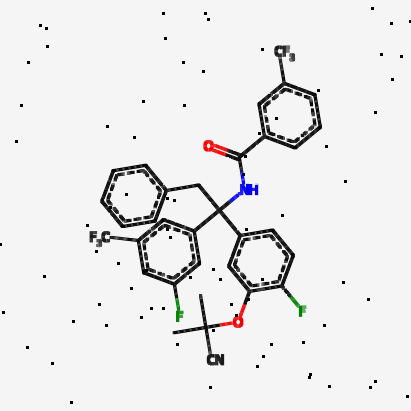 CC(C)(C#N)Oc1cc(C(Cc2ccccc2)(NC(=O)c2cccc(C(F)(F)F)c2)c2cc(F)cc(C(F)(F)F)c2)ccc1F